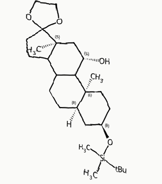 CC(C)(C)[Si](C)(C)O[C@@H]1CC[C@]2(C)C3C(CC[C@@H]2C1)C1CCC2(OCCO2)[C@@]1(C)C[C@@H]3O